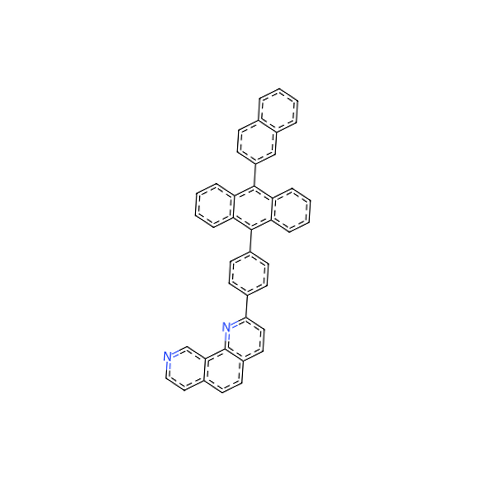 c1ccc2cc(-c3c4ccccc4c(-c4ccc(-c5ccc6ccc7ccncc7c6n5)cc4)c4ccccc34)ccc2c1